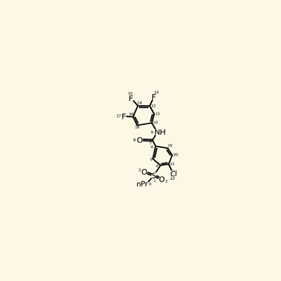 CCCS(=O)(=O)c1cc(C(=O)Nc2cc(F)c(F)c(F)c2)ccc1Cl